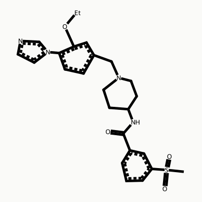 CCOc1cc(CN2CCC(NC(=O)c3cccc(S(C)(=O)=O)c3)CC2)ccc1-n1ccnc1